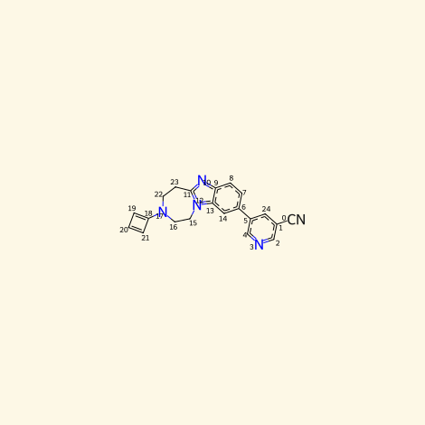 N#Cc1cncc(-c2ccc3nc4n(c3c2)CCN(C2=CC=C2)CC4)c1